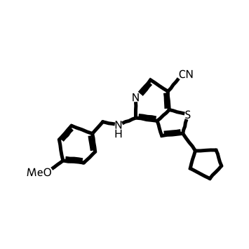 COc1ccc(CNc2ncc(C#N)c3sc(C4CCCC4)cc23)cc1